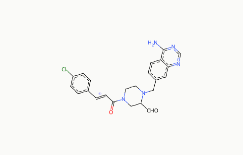 Nc1ncnc2cc(CN3CCN(C(=O)/C=C/c4ccc(Cl)cc4)CC3C=O)ccc12